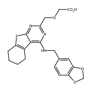 O=C(O)COCc1nc(NCc2ccc3c(c2)OCO3)c2c3c(sc2n1)CCCC3